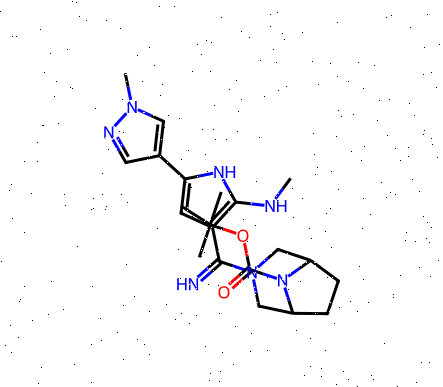 CNc1[nH]c(-c2cnn(C)c2)cc1C(=N)N1CC2CCC(C1)N2C(=O)OC(C)(C)C